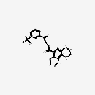 COc1c(C(=O)CCC(=O)c2cccc(C(F)(F)F)c2)cc2c(c1OC)OCCO2